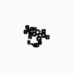 O=c1c(O)c(Nc2ccc3c(c2)CCCC(c2ccc(Cl)cc2Cl)=C3c2ccc(O[C@H]3CCN(CCCF)C3)cc2)c1=O